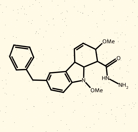 COC1C=CC2c3cc(Cc4ccccc4)ccc3N(OC)C2C1C(=O)NN